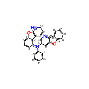 C1=Cc2c(oc3cccc(N(c4ccccc4)c4cnc5c(c4)oc4ccccc45)c23)NC1